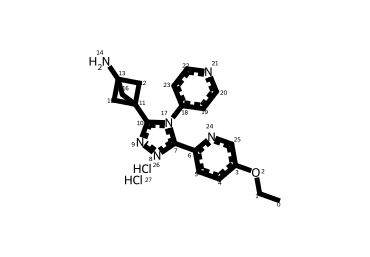 CCOc1ccc(-c2nnc(C34CC(N)(C3)C4)n2-c2ccncc2)nc1.Cl.Cl